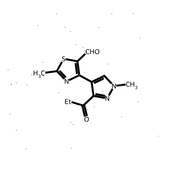 CCC(=O)c1nn(C)cc1-c1nc(C)sc1C=O